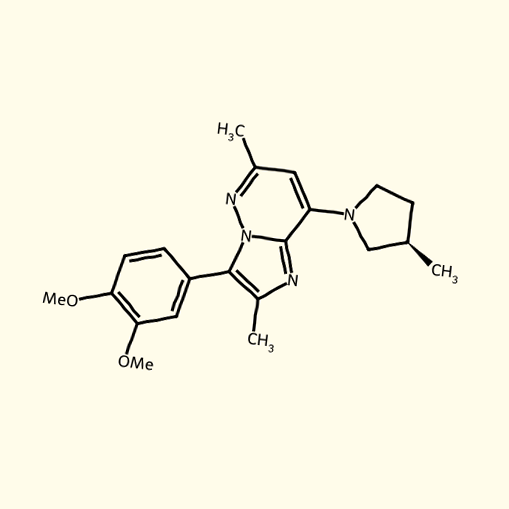 COc1ccc(-c2c(C)nc3c(N4CC[C@@H](C)C4)cc(C)nn23)cc1OC